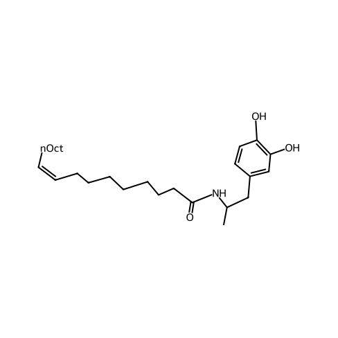 CCCCCCCC/C=C\CCCCCCCC(=O)NC(C)Cc1ccc(O)c(O)c1